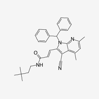 Cc1cc(C)c2c(C#N)c(C=CC(=O)NCCC(C)(C)C)n(C(c3ccccc3)c3ccccc3)c2n1